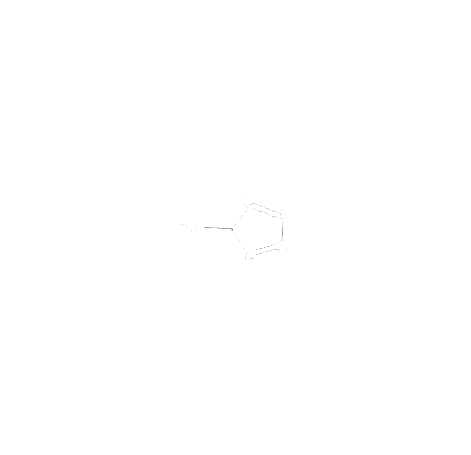 C[C]1[Bi]=[Bi][Bi]=[Bi]1